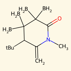 BC1(B)C(=O)N(C)C(=C)C(C(C)(C)C)C1(B)B